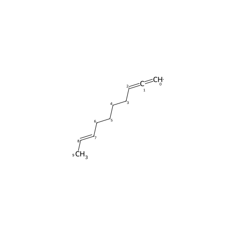 [CH]=C=CCCCCC=CC